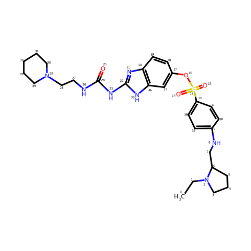 CCN1CCCC1CNc1ccc(S(=O)(=O)Oc2ccc3nc(NC(=O)NCCN4CCCCC4)[nH]c3c2)cc1